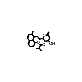 C=C1CC(O)CC(CCC2C(C)C=CC3=CCCC(OC(=O)C(C)C)C32)O1